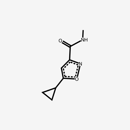 CNC(=O)c1cc(C2CC2)on1